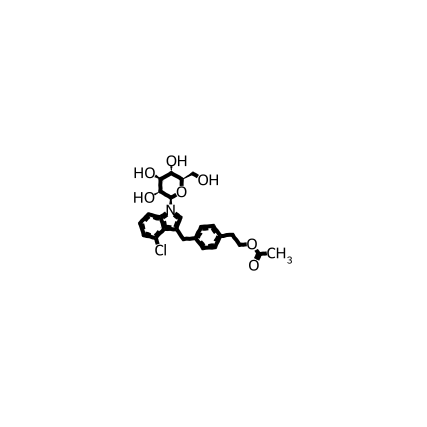 CC(=O)OCCc1ccc(Cc2cn([C@@H]3O[C@H](CO)[C@@H](O)[C@H](O)[C@H]3O)c3cccc(Cl)c23)cc1